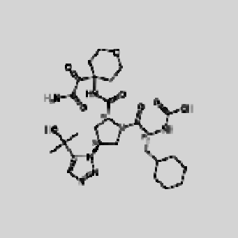 CC(C)(O)c1cnnn1[C@H]1C[C@@H](C(=O)NC2(C(=O)C(N)=O)CCOCC2)N(C(=O)[C@@H](CC2CCCCC2)NC(=O)O)C1